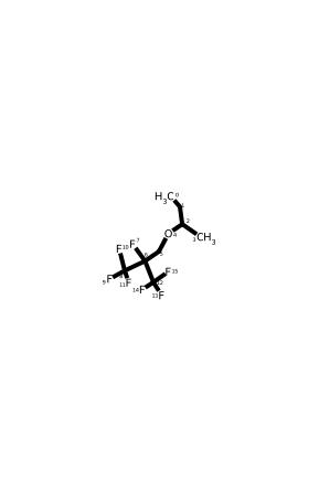 CCC(C)OCC(F)(C(F)(F)F)C(F)(F)F